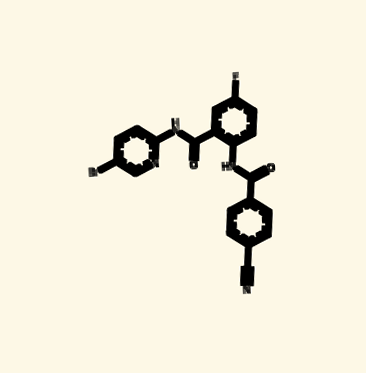 N#Cc1ccc(C(=O)Nc2ccc(F)cc2C(=O)Nc2ccc(Br)cn2)cc1